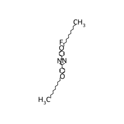 CCCCCCCCCCCOc1ccc(-c2cnc(-c3ccc(OCC(F)CCCCCCCCCC)cc3)nc2)cc1